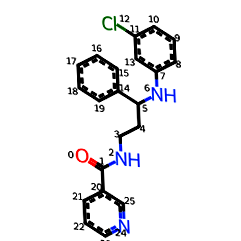 O=C(NCCC(Nc1cccc(Cl)c1)c1ccccc1)c1cccnc1